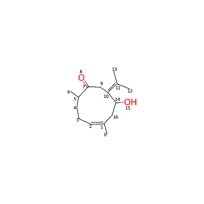 CC1=CCCC(C)C(=O)CC(=C(C)C)C(O)C1